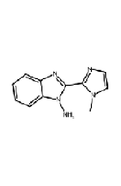 Cn1ccnc1-c1nc2ccccc2n1N